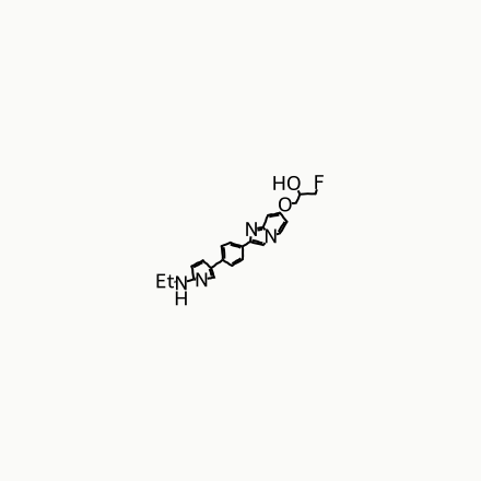 CCNc1ccc(-c2ccc(-c3cn4ccc(OCC(O)CF)cc4n3)cc2)cn1